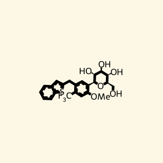 COc1cc(C(F)(F)F)c(Cc2cc3ccccc3s2)cc1[C@@H]1O[C@H](CO)[C@@H](O)[C@H](O)[C@H]1O